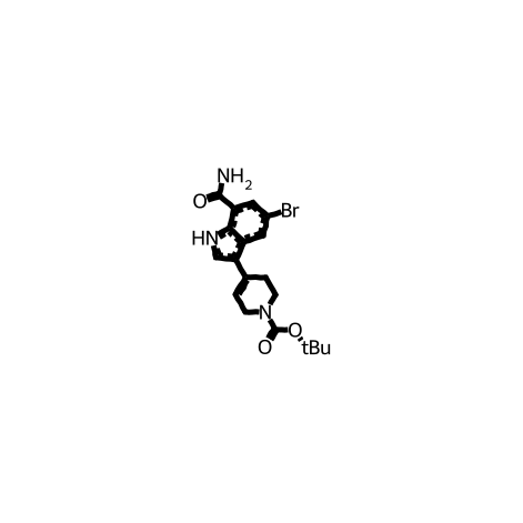 CC(C)(C)OC(=O)N1CC=C(c2c[nH]c3c(C(N)=O)cc(Br)cc23)CC1